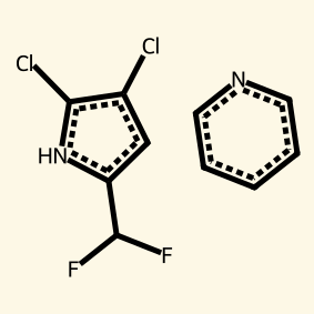 FC(F)c1cc(Cl)c(Cl)[nH]1.c1ccncc1